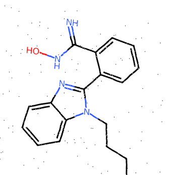 CCCCn1c(-c2ccccc2C(=N)NO)nc2ccccc21